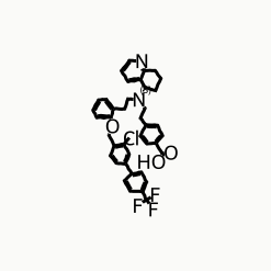 O=C(O)c1ccc(CCN(CCc2ccccc2OCc2ccc(-c3ccc(C(F)(F)F)cc3)cc2Cl)[C@H]2CCCc3ncccc32)cc1